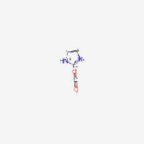 C1=NCCN1.O=C=O